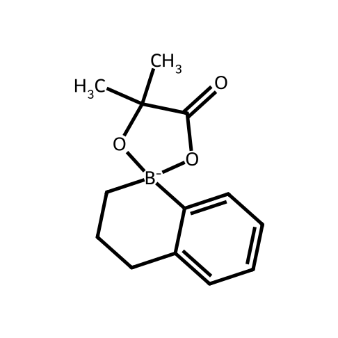 CC1(C)O[B-]2(CCCc3ccccc32)OC1=O